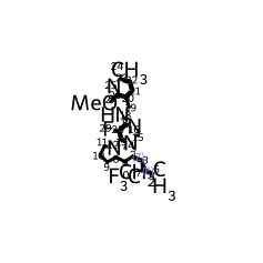 C=C(/C=C\C(=C/C)C(F)(F)F)C1CCCN1c1ncnc(NCc2ccc(C)nc2OC)c1F